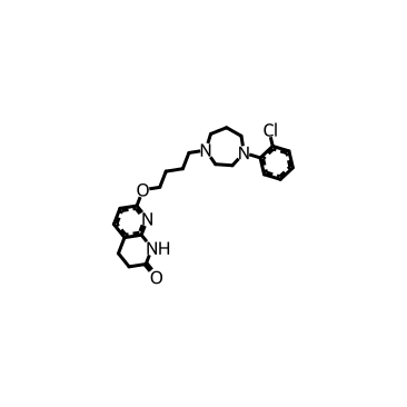 O=C1CCc2ccc(OCCCCN3CCCN(c4ccccc4Cl)CC3)nc2N1